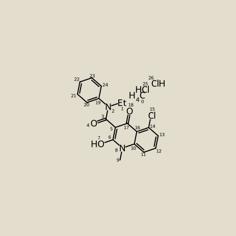 C.CCN(C(=O)c1c(O)n(C)c2cccc(Cl)c2c1=O)c1ccccc1.Cl.Cl